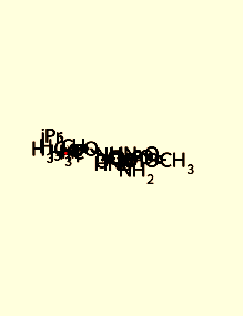 Cc1ccc(OC(=O)OCc2ccc(NC(=O)CNC(=O)[C@H](CC(N)=O)NC(=O)CCC(=O)NCCCO[C@H]3CC[C@@]4(C)C(=CC[C@H]5[C@@H]6CC[C@H]([C@H](C)CCCC(C)C)[C@@]6(C)CC[C@@H]54)C3)cc2)cc1